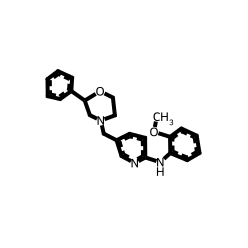 COc1ccccc1Nc1ccc(CN2CCOC(c3ccccc3)C2)cn1